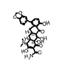 CN(C)[C@H]1C(O)=C(C(N)=O)C(=O)[C@]2(O)C(O)=C3C(=O)c4c(O)ccc(-c5ccc6c(c5)OCO6)c4C[C@@H]3C[C@H]12